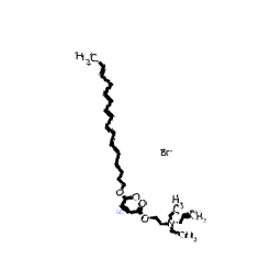 C=CC[N+](CC)(CC)CCOC(=O)/C=C\C(=O)OCCCCCCCCCCCCCCCC.[Br-]